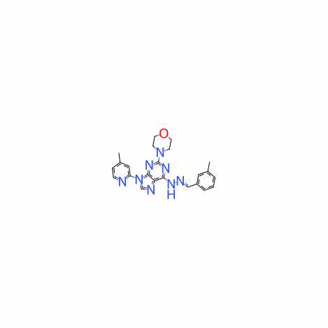 Cc1cccc(C=NNc2nc(N3CCOCC3)nc3c2ncn3-c2cc(C)ccn2)c1